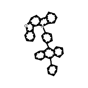 c1ccc(-c2c3ccccc3c(-c3ccc(-n4c5ccccc5c5ccc6oc7ccccc7c6c54)cc3)c3ccccc23)cc1